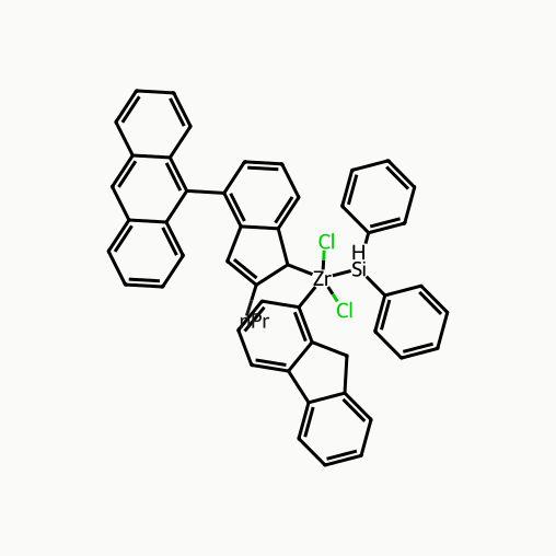 CCCC1=Cc2c(-c3c4ccccc4cc4ccccc34)cccc2[CH]1[Zr]([Cl])([Cl])([c]1cccc2c1Cc1ccccc1-2)[SiH](c1ccccc1)c1ccccc1